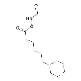 O=CNOC(=O)CCCCCC1CCCCC1